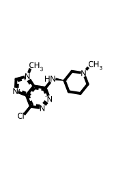 CN1CCC[C@@H](Nc2nnc(Cl)c3ncn(C)c23)C1